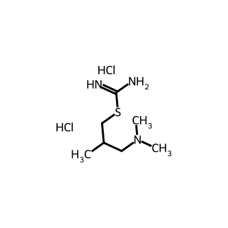 CC(CSC(=N)N)CN(C)C.Cl.Cl